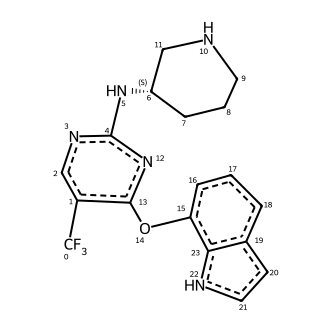 FC(F)(F)c1cnc(N[C@H]2CCCNC2)nc1Oc1cccc2cc[nH]c12